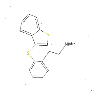 CNCCc1ccccc1Sc1csc2ccccc12